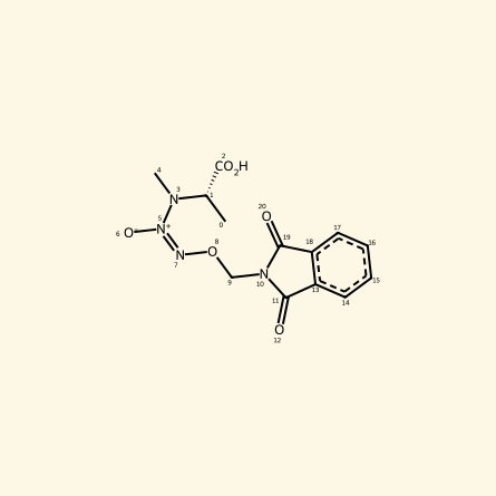 C[C@@H](C(=O)O)N(C)/[N+]([O-])=N\OCN1C(=O)c2ccccc2C1=O